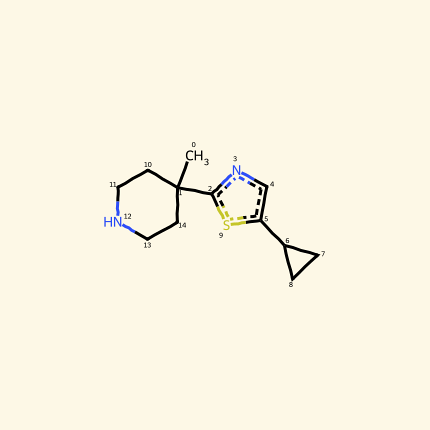 CC1(c2ncc(C3CC3)s2)CCNCC1